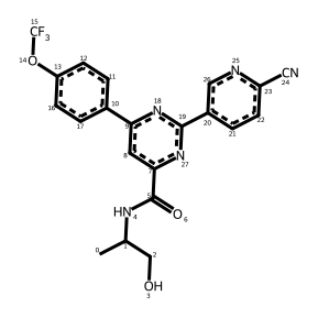 CC(CO)NC(=O)c1cc(-c2ccc(OC(F)(F)F)cc2)nc(-c2ccc(C#N)nc2)n1